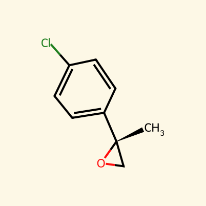 C[C@@]1(c2ccc(Cl)cc2)CO1